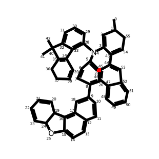 CC1C=C(N(c2ccc(-c3ccc4ccc5c(c4c3)C3C=CC=CC3O5)cc2)c2cccc3c2C2=C(CCC=C2)C3(C)C)C(c2ccc3ccccc3c2)=CC1